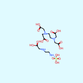 NCCNCC(=O)O.O=C(O)CN(CCN(CC(=O)O)CC(=O)O)CC(=O)O.O=S(=O)(O)O